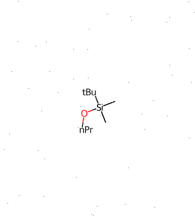 [CH2]CCO[Si](C)(C)C(C)(C)C